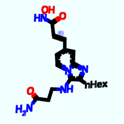 CCCCCCc1nc2cc(/C=C/C(=O)NO)ccn2c1NCCC(N)=O